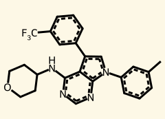 Cc1cccc(-n2cc(-c3cccc(C(F)(F)F)c3)c3c(NC4CCOCC4)ncnc32)c1